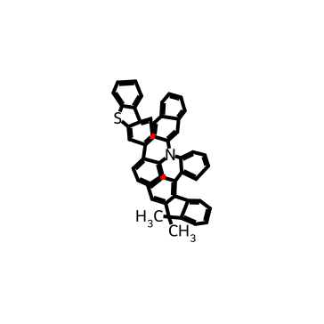 CC1(C)c2ccccc2-c2c(-c3ccccc3N(c3ccc4ccccc4c3)c3ccccc3-c3ccc4c(c3)sc3ccccc34)cccc21